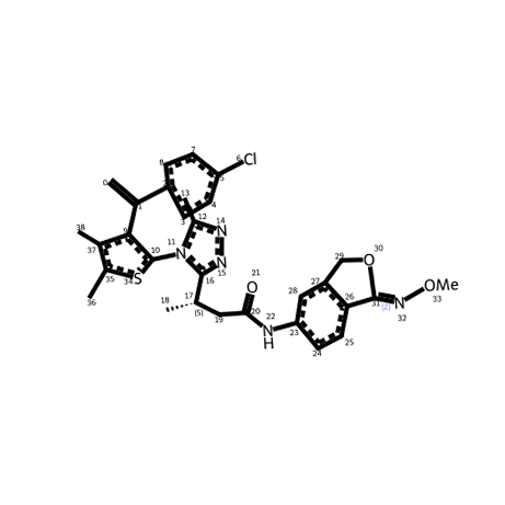 C=C(c1ccc(Cl)cc1)c1c(-n2c(C)nnc2[C@@H](C)CC(=O)Nc2ccc3c(c2)CO/C3=N\OC)sc(C)c1C